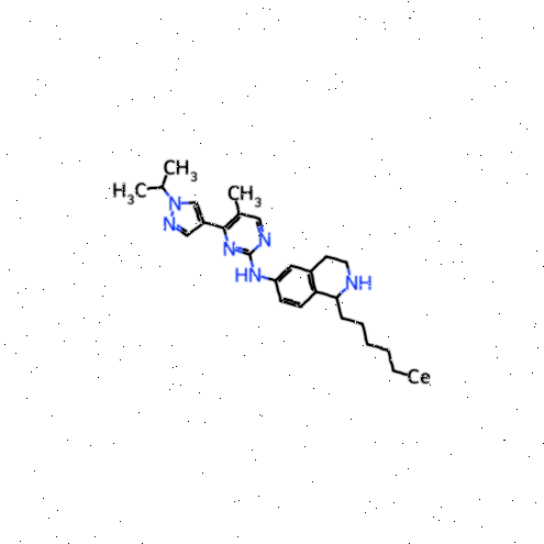 Cc1cnc(Nc2ccc3c(c2)CCNC3CCCC[CH2][Ce])nc1-c1cnn(C(C)C)c1